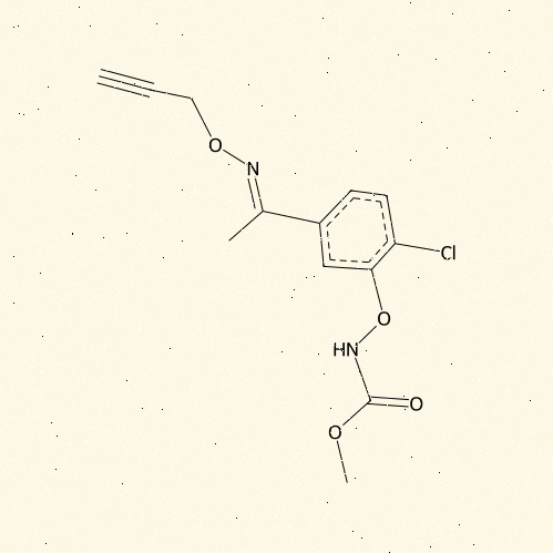 C#CCO/N=C(\C)c1ccc(Cl)c(ONC(=O)OC)c1